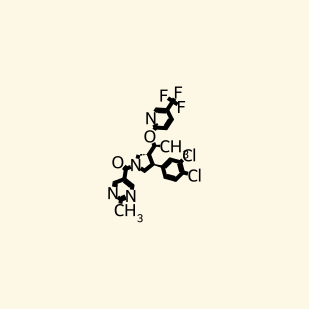 Cc1ncc(C(=O)N2C[C@H]([C@H](C)Oc3ccc(C(F)(F)F)cn3)[C@@H](c3ccc(Cl)c(Cl)c3)C2)cn1